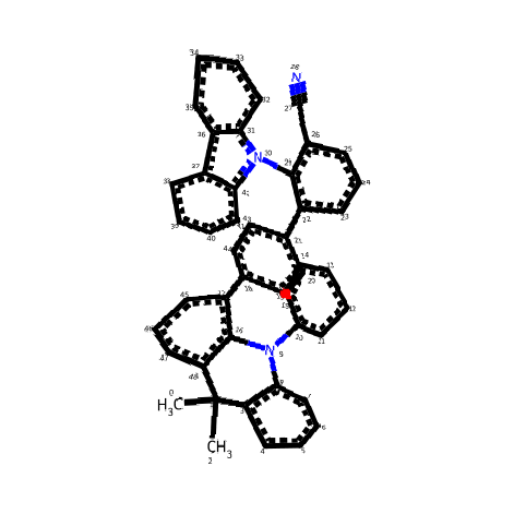 CC1(C)c2ccccc2N(c2ccccc2)c2c(-c3ccc(-c4cccc(C#N)c4-n4c5ccccc5c5ccccc54)cc3)cccc21